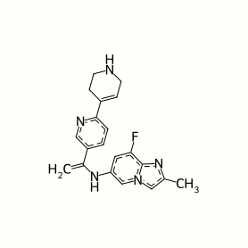 C=C(Nc1cc(F)c2nc(C)cn2c1)c1ccc(C2=CCNCC2)nc1